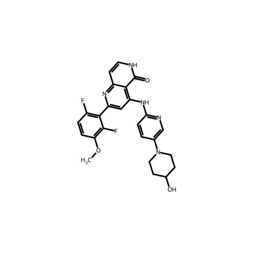 COc1ccc(F)c(-c2cc(Nc3ccc(N4CCC(O)CC4)cn3)c3c(=O)[nH]ccc3n2)c1F